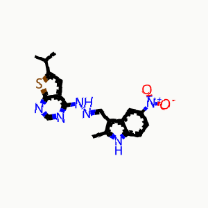 Cc1[nH]c2ccc([N+](=O)[O-])cc2c1C=NNc1ncnc2sc(C(C)C)cc12